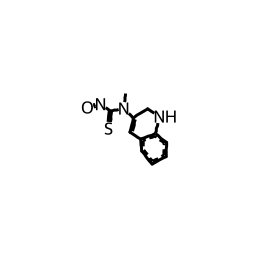 CN(C(=S)N=O)C1=Cc2ccccc2NC1